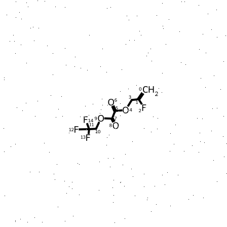 C=C(F)COC(=O)C(=O)OCC(F)(F)F